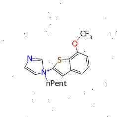 CCCCC[N+]1(c2cc3cccc(OC(F)(F)F)c3s2)C=CN=C1